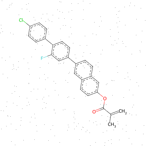 C=C(C)C(=O)Oc1ccc2cc(-c3ccc(-c4ccc(Cl)cc4)c(F)c3)ccc2c1